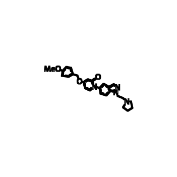 COc1ccc(COc2ccn(-c3ccc4c(cnn4CCN4CCCC4)c3)c(=O)c2)cc1